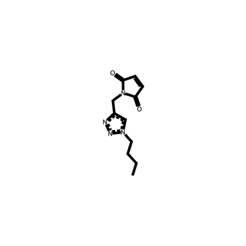 CCCCn1cc(CN2C(=O)C=CC2=O)nn1